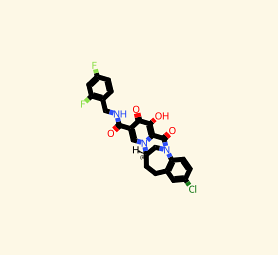 O=C(NCc1ccc(F)cc1F)c1cn2c(c(O)c1=O)C(=O)N1C[C@H]2CCc2cc(Cl)ccc21